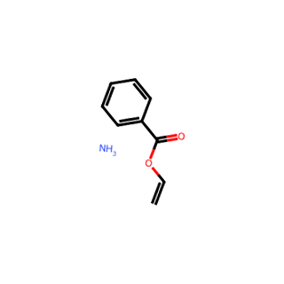 C=COC(=O)c1ccccc1.N